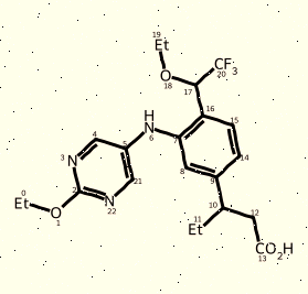 CCOc1ncc(Nc2cc(C(CC)CC(=O)O)ccc2C(OCC)C(F)(F)F)cn1